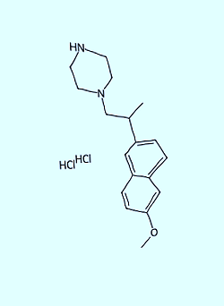 COc1ccc2cc(C(C)CN3CCNCC3)ccc2c1.Cl.Cl